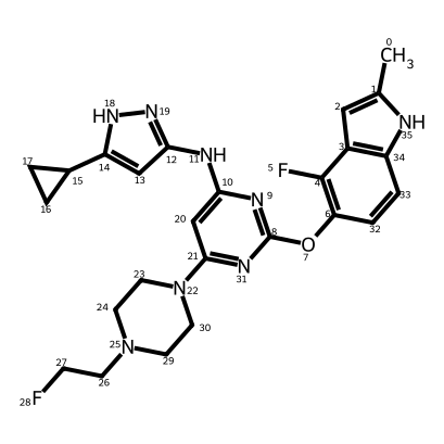 Cc1cc2c(F)c(Oc3nc(Nc4cc(C5CC5)[nH]n4)cc(N4CCN(CCF)CC4)n3)ccc2[nH]1